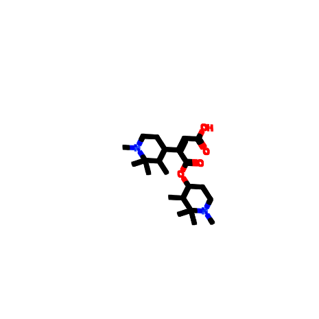 CC1C(OC(=O)/C(=C\C(=O)O)C2CCN(C)C(C)(C)C2C)CCN(C)C1(C)C